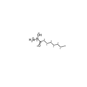 CCCCCCCC(=O)N(N)O